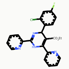 CCOC(=O)C1=C(c2ccccn2)NC(c2ccccn2)=NC1c1ccc(F)cc1Cl